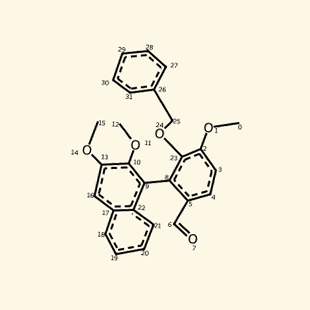 COc1ccc(C=O)c(-c2c(OC)c(OC)cc3ccccc23)c1OCc1ccccc1